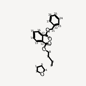 C1CCOC1.CCCCOC(=O)c1ccccc1C(=O)OCc1ccccc1